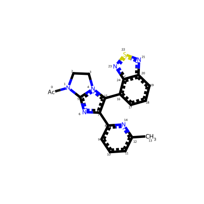 CC(=O)N1CCn2c1nc(-c1cccc(C)n1)c2-c1cccc2nsnc12